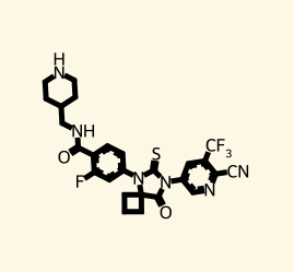 N#Cc1ncc(N2C(=O)C3(CCC3)N(c3ccc(C(=O)NCC4CCNCC4)c(F)c3)C2=S)cc1C(F)(F)F